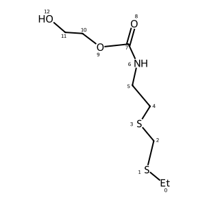 CCSCSCCNC(=O)OCCO